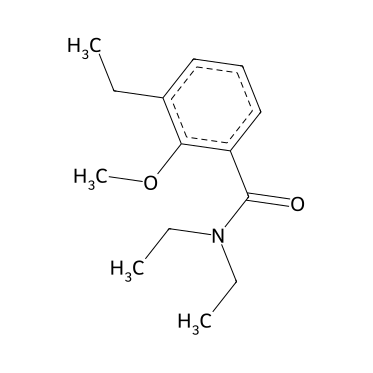 CCc1cccc(C(=O)N(CC)CC)c1OC